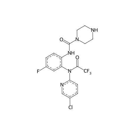 O=C(Nc1ccc(F)cc1N(C(=O)C(F)(F)F)c1ccc(Cl)cn1)N1CCNCC1